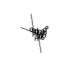 C=CCO[C@@H]1O[C@H](COC(=O)OCc2ccccc2)[C@@H](OP(=O)(c2ccccc2)c2ccccc2)[C@H](OC(=O)CCCCCCCCCCCCC)[C@H]1NC(=O)[C@H](F)[C@H](CCCCCCCCCCC)OC(=O)CCCCCCCCCCCCC